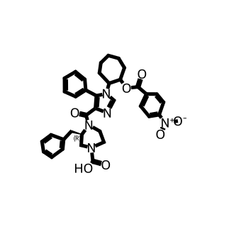 O=C(OC1CCCCCC1n1cnc(C(=O)N2CCN(C(=O)O)C[C@H]2Cc2ccccc2)c1-c1ccccc1)c1ccc([N+](=O)[O-])cc1